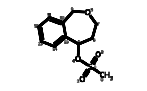 CS(=O)(=O)OC1CCOCc2ccccc21